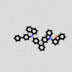 c1ccc(-c2ccc(N(c3ccc(-c4ccccc4-c4ccc5c6ccccc6n(-c6cccc7c6oc6ccccc67)c5c4)cc3)c3cccc4ccccc34)cc2)cc1